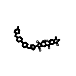 C=C1c2cc(O)c(C(=O)c3ccc4c(c3)C(=O)N(c3ccc(CC5CCC(C6CCC(Cc7ccc(C)cc7)CC6)CC5)cc3)C4=O)cc2C(=O)N1C